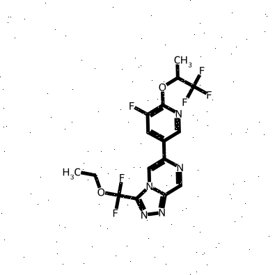 CCOC(F)(F)c1nnc2cnc(-c3cnc(OC(C)C(F)(F)F)c(F)c3)cn12